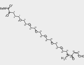 CNC(=O)C(=O)CCCOCCOCCOCCOCCOCCOCCN(C)C(=O)/C=C\C=O